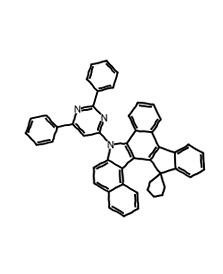 c1ccc(-c2cc(-n3c4ccc5ccccc5c4c4c5c(c6ccccc6c43)-c3ccccc3C53CCCCC3)nc(-c3ccccc3)n2)cc1